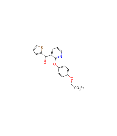 CCOC(=O)COc1ccc(Oc2ncccc2C(=O)c2cccs2)cc1